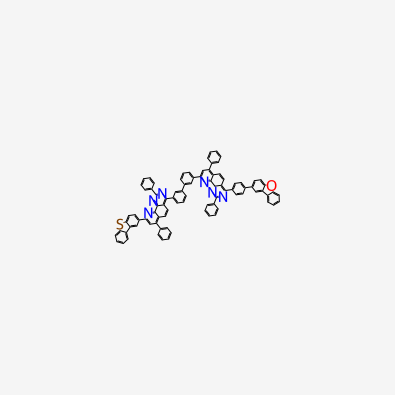 c1ccc(-c2nc(-c3ccc(-c4ccc5oc6ccccc6c5c4)cc3)c3ccc4c(-c5ccccc5)cc(-c5cccc(-c6cccc(-c7nc(-c8ccccc8)nc8c7ccc7c(-c9ccccc9)cc(-c9ccc%10sc%11ccccc%11c%10c9)nc78)c6)c5)nc4c3n2)cc1